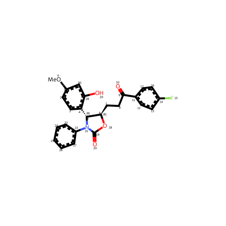 COc1ccc([C@@H]2[C@@H](CCC(=O)c3ccc(F)cc3)OC(=O)N2c2ccccc2)c(O)c1